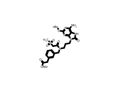 CCCCOc1nc(N)c2[nH]c(=O)n(CCCN(Cc3cccc(CC(=O)OC)c3)C(=O)CS(C)(=O)=O)c2n1